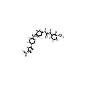 CCNc1ncc(-c2ccc(Oc3ncc(NC(=O)Nc4cccc(C(F)(F)F)c4F)cn3)cc2)s1